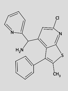 Cc1sc2nc(Cl)cc(C(N)c3ccccn3)c2c1-c1ccccc1